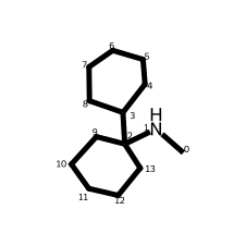 CNC1(C2CCCCC2)CCCCC1